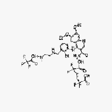 CCOc1cc2ncc(C(N)=O)c(Nc3cccc(CNCCN(C)C)c3CC)c2cc1OCC.O=C(O)C(F)(F)F.O=C(O)C(F)(F)F.O=C(O)C(F)(F)F